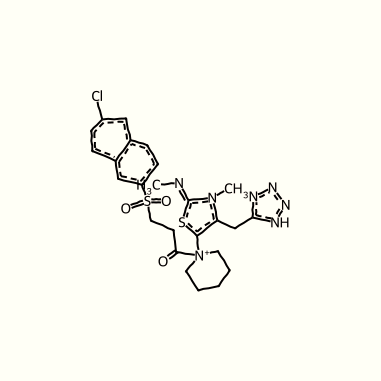 C/N=c1\sc([N+]2(C(=O)CCS(=O)(=O)c3ccc4cc(Cl)ccc4c3)CCCCC2)c(Cc2nnn[nH]2)n1C